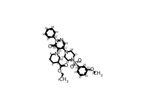 CCOC(=O)C1CCCN(c2c(N3CCN(S(=O)(=O)c4cccc(OC)c4)CC3)cnn(-c3ccccc3)c2=O)C1